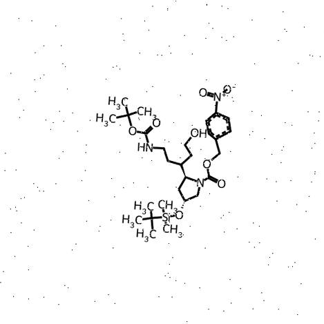 CC(C)(C)OC(=O)NCCC(CCO)[C@@H]1C[C@@H](O[Si](C)(C)C(C)(C)C)CN1C(=O)OCc1ccc([N+](=O)[O-])cc1